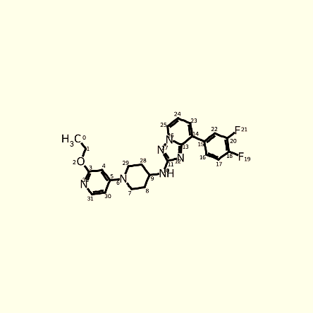 CCOc1cc(N2CCC(Nc3nc4c(-c5ccc(F)c(F)c5)cccn4n3)CC2)ccn1